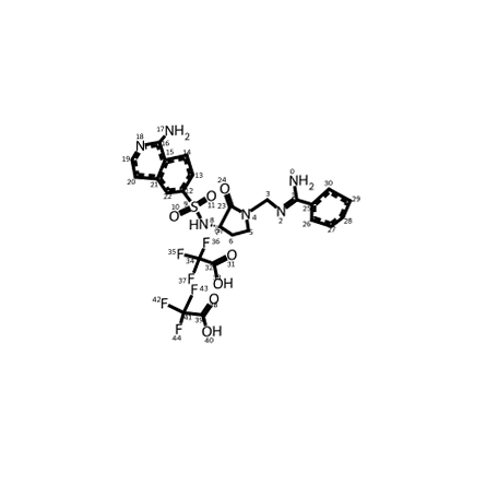 NC(=NCN1CC[C@H](NS(=O)(=O)c2ccc3c(N)nccc3c2)C1=O)c1ccccc1.O=C(O)C(F)(F)F.O=C(O)C(F)(F)F